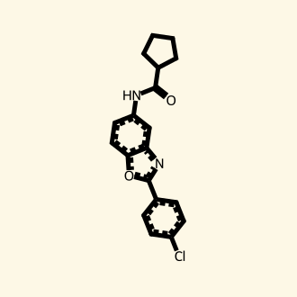 O=C(Nc1ccc2oc(-c3ccc(Cl)cc3)nc2c1)C1CCCC1